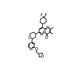 Cc1nc2c(C3CCC(F)(F)CC3)cc(C3CCOC(c4ccnc(OCC5COC5)c4)C3)nn2c(=O)c1C